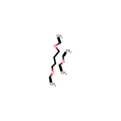 C=COC=C.C=COCCCCOC=C